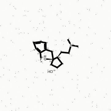 CN(C)CC[C@H]1CCC[C@]1(O)Cc1ccccc1F.Cl